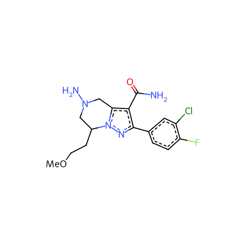 COCCC1CN(N)Cc2c(C(N)=O)c(-c3ccc(F)c(Cl)c3)nn21